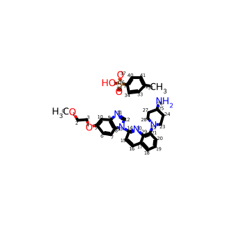 COCCOc1ccc2c(c1)ncn2-c1ccc2cccc(N3CCC(N)CC3)c2n1.Cc1ccc(S(=O)(=O)O)cc1